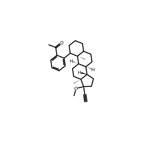 C#CC1(OC)CC[C@H]2[C@@H]3CCC4CCCC(c5c[c]ccc5C(C)=O)[C@]4(C)[C@@H]3CC[C@@]21C